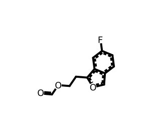 O=COCCc1occ2ccc(F)cc12